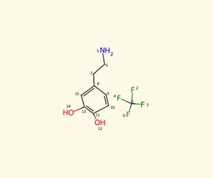 FC(F)(F)F.NCCc1ccc(O)c(O)c1